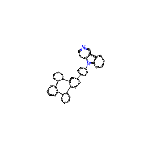 c1ccc2c(c1)-c1ccccc1-c1ccc(-c3ccc(-n4c5ccccc5c5cnccc54)cc3)cc1-c1ccccc1-2